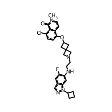 Cn1ccc2c(OC3CC4(C3)CN(CCNc3cc5c(cnn5C5CCC5)cc3F)C4)ccc(Cl)c2c1=O